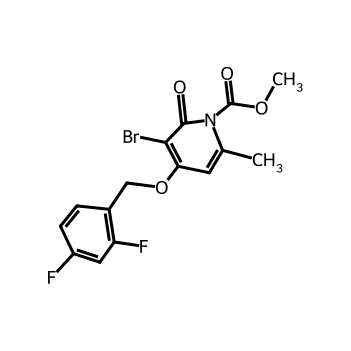 COC(=O)n1c(C)cc(OCc2ccc(F)cc2F)c(Br)c1=O